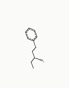 CCC(N)C[CH]c1ccccc1